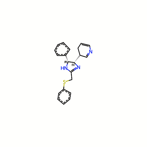 C1=CN=CC([C@@H]2N=C(CSc3ccccc3)N[C@@H]2c2ccccc2)C1